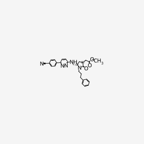 COC(=O)C[C@@H]1C[C@@H](CNc2ccc(-c3ccc(C#N)cc3)nn2)N(CCCc2ccccc2)C1=O